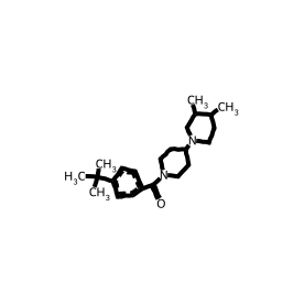 CC1CCN(C2CCN(C(=O)c3ccc(C(C)(C)C)cc3)CC2)CC1C